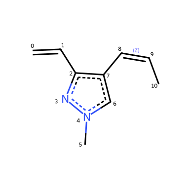 C=Cc1nn(C)cc1/C=C\C